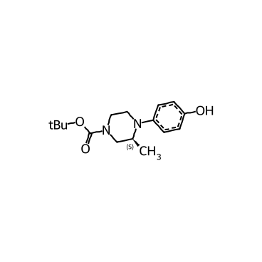 C[C@H]1CN(C(=O)OC(C)(C)C)CCN1c1ccc(O)cc1